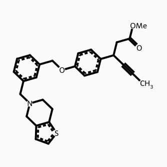 CC#CC(CC(=O)OC)c1ccc(OCc2cccc(CN3CCc4sccc4C3)c2)cc1